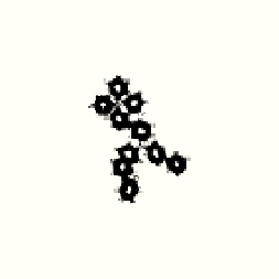 c1ccc(-c2ccc(N(c3cccc(-c4cccc([Si](c5ccccc5)(c5ccccc5)c5ccccc5)c4)c3)c3ccc4ccc5c6ccccc6sc5c4c3)cc2)cc1